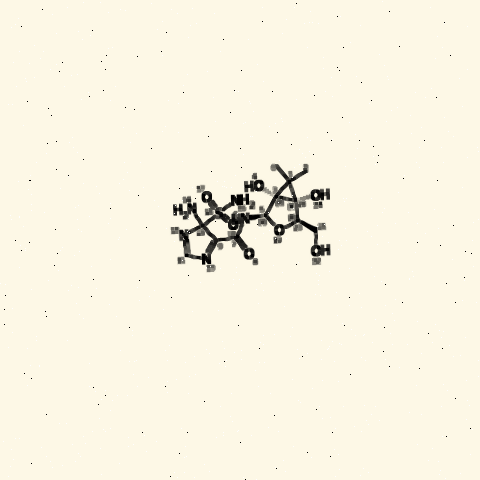 CC1(C)[C@]2(O)[C@H](NC(=O)C3=NC=NC3(N)S(N)(=O)=O)O[C@H](CO)[C@]12O